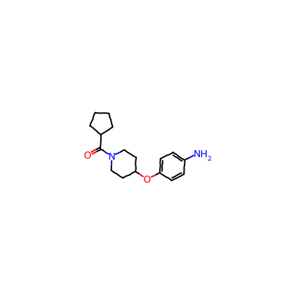 Nc1ccc(OC2CCN(C(=O)C3CCCC3)CC2)cc1